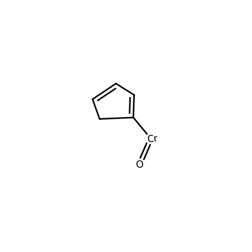 [O]=[Cr][C]1=CC=CC1